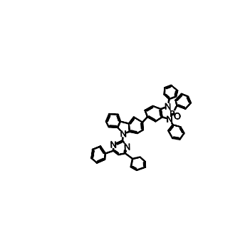 O=P1(c2ccccc2)N(c2ccccc2)c2ccc(-c3ccc4c(c3)c3ccccc3n4-c3nc(-c4ccccc4)cc(C4C=CC=CC4)n3)cc2N1c1ccccc1